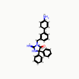 N=C1NC(c2ccccc2)(c2ccccc2)C(=O)N1Cc1cccc(C2C=CC(N)=CC2)c1